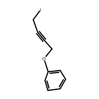 ICC#CCOc1ccccc1